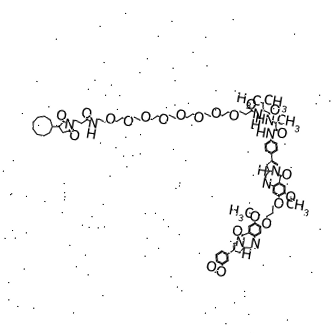 COc1cc2c(cc1OCCCOc1cc3c(cc1OC)C(=O)N1C=C(c4ccc5c(c4)OCO5)C[C@H]1C=N3)N=C[C@@H]1CC(c3ccc(NC(=O)[C@H](C)NC(=O)[C@@H](NC(=O)CCOCCOCCOCCOCCOCCOCCOCCOCCNC(=O)CCN4C(=O)CC(C5CCCCCCCC5)C4=O)C(C)C)cc3)=CN1C2=O